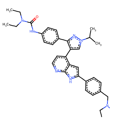 CCN(CC)C(=O)Nc1ccc(-c2nn(C(C)C)cc2-c2ccnc3[nH]c(-c4ccc(CN5CCCC5)cc4)cc23)cc1